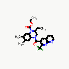 CCOC(=O)N1c2cc(C)c(C)cc2N(C(=O)c2cc3cccnc3nc2C(F)(F)F)CC1CC